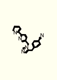 N#Cc1ccc(Cc2cncn2Cc2ccc(-c3ccccn3)nc2)cc1